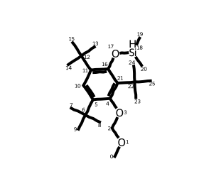 COCOc1c(C(C)(C)C)cc(C(C)(C)C)c(O[SiH](C)C)c1C(C)(C)C